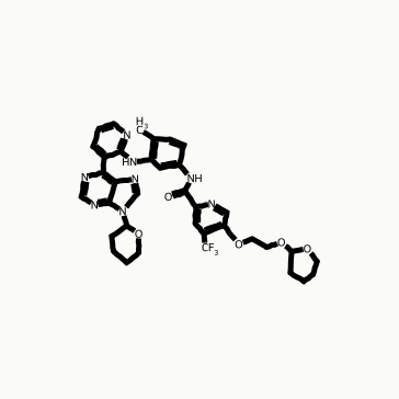 Cc1ccc(NC(=O)c2cc(C(F)(F)F)c(OCCOC3CCCCO3)cn2)cc1Nc1ncccc1-c1ncnc2c1ncn2C1CCCCO1